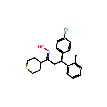 Cc1ccccc1C(CC(=NO)C1CCSCC1)c1ccc(Br)cc1